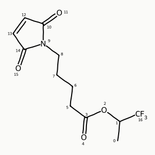 CC(OC(=O)CCCCN1C(=O)C=CC1=O)C(F)(F)F